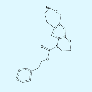 O=C(OCCc1ccccc1)N1CCOc2cc3c(cc21)CCNCC3